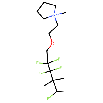 CC(F)C(C)(C)C(F)(F)C(F)(F)COCC[N+]1(C)CCCC1